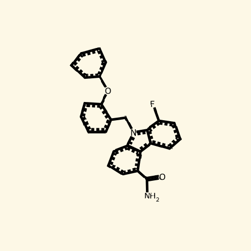 NC(=O)c1cccc2c1c1[c]ccc(F)c1n2Cc1ccccc1Oc1ccccc1